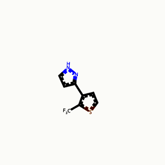 FC(F)(F)c1sccc1-c1cc[nH]n1